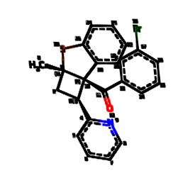 C[C@]12C[C@H](c3ccccn3)[C@@]1(C(=O)c1cccc(Br)c1)c1ccccc1S2